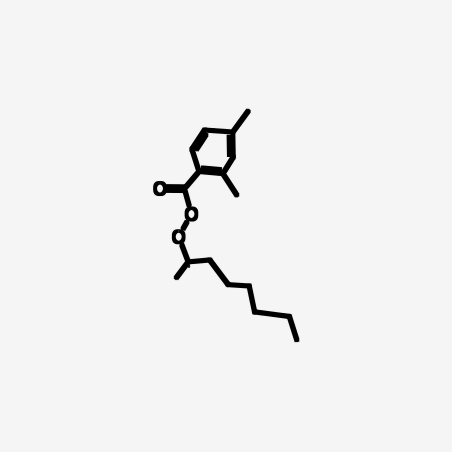 CCCCCC[C](C)OOC(=O)c1ccc(C)cc1C